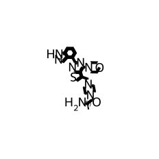 C[C@@H](N)C(=O)N1CCN(Cc2csc3nc(-c4cccc5[nH]ncc45)nc(N4CCOCC4)c23)CC1